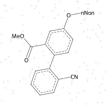 CCCCCCCCCOc1ccc(-c2ccccc2C#N)c(C(=O)OC)c1